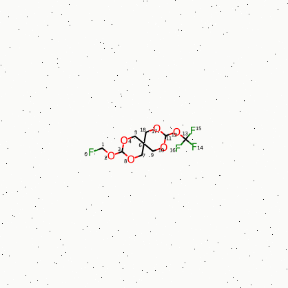 FCOC1OCC2(CO1)COC(OC(F)(F)F)OC2